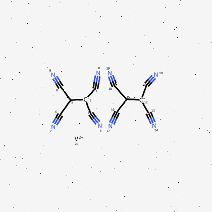 N#C[C-](C#N)C(C#N)C#N.N#C[C-](C#N)C(C#N)C#N.[V+2]